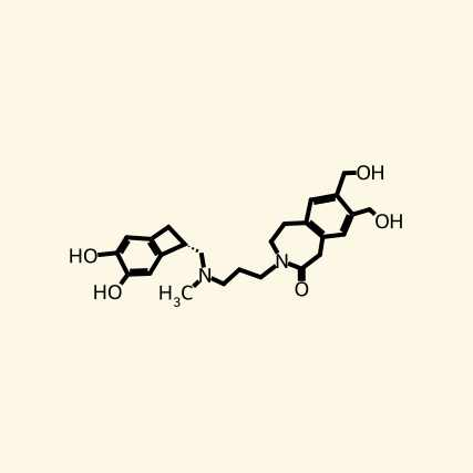 CN(CCCN1CCc2cc(CO)c(CO)cc2CC1=O)C[C@H]1Cc2cc(O)c(O)cc21